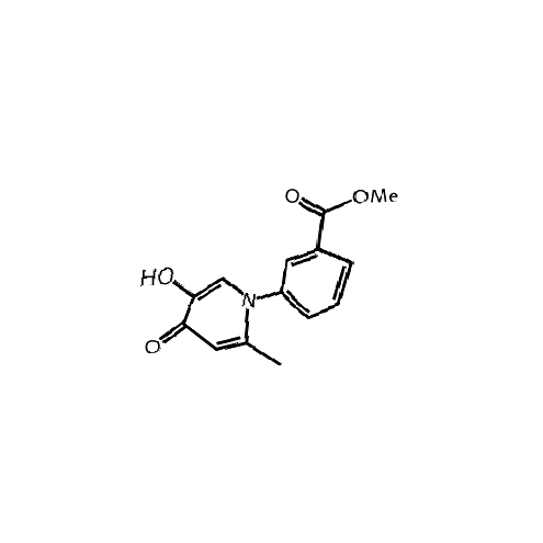 COC(=O)c1cccc(-n2cc(O)c(=O)cc2C)c1